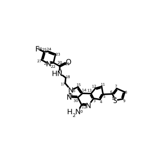 Nc1nc2cc(-c3cccs3)ccc2c2cn(CCNC(=O)c3ccc(F)cn3)nc12